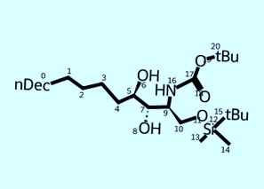 CCCCCCCCCCCCCC[C@@H](O)[C@@H](O)[C@H](CO[Si](C)(C)C(C)(C)C)NC(=O)OC(C)(C)C